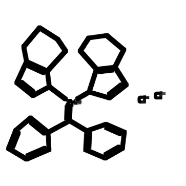 C1=C[CH]([Zr+2](=[C](c2ccccc2)c2ccccc2)[CH]2C=CC3=C2CCCC3)C2=C1CCCC2.[Cl-].[Cl-]